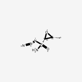 C[C@H]1O[C@H]1P(N)(=O)N=[N+]=[N-]